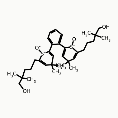 CC1(C)C=C(CCCC(C)(C)CO)[S+]([O-])C(c2ccccc2C2=CC(C)(C)C=C(CCCC(C)(C)CO)[S+]2[O-])=C1